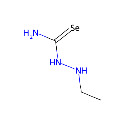 CCNNC(N)=[Se]